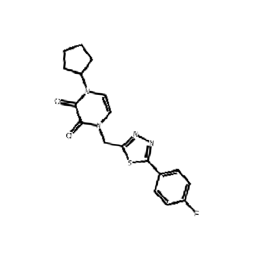 O=c1c(=O)n(C2CCCC2)ccn1Cc1nnc(-c2ccc(F)cc2)s1